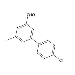 Cc1cc(C=O)cc(-c2ccc(Cl)cc2)c1